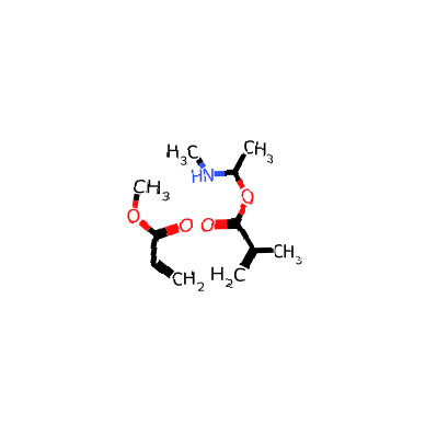 C=C(C)C(=O)OC(C)NC.C=CC(=O)OC